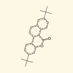 CC(C)(C)c1ccc2c(ccc3c4ccc(C(C)(C)C)cc4oc(=O)c23)c1